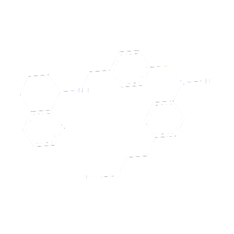 COCCc1ccc(N(C)Sc2ccc(CNC3CCCc4cccnc43)cc2)cc1